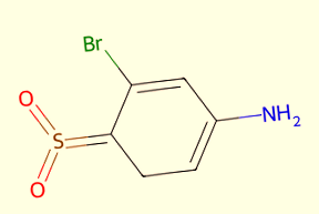 NC1=CCC(=S(=O)=O)C(Br)=C1